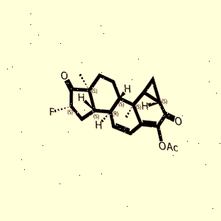 CC(=O)OC1=C2C=C[C@H]3[C@@H]4C[C@H](F)C(=O)[C@@]4(C)CC[C@@H]3[C@@]2(C)C2C[C@@H]2C1=O